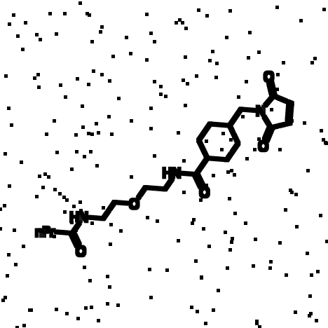 CCCC(=O)NCCOCCNC(=O)C1CCC(CN2C(=O)C=CC2=O)CC1